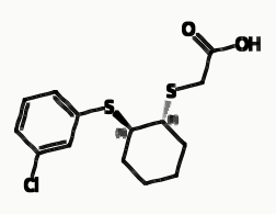 O=C(O)CS[C@@H]1CCCC[C@H]1Sc1cccc(Cl)c1